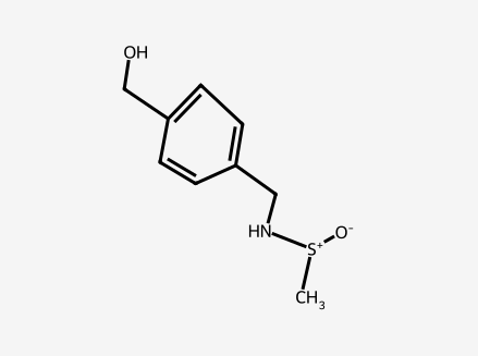 C[S+]([O-])NCc1ccc(CO)cc1